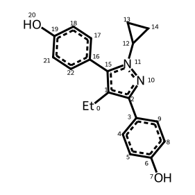 CCc1c(-c2ccc(O)cc2)nn(C2CC2)c1-c1ccc(O)cc1